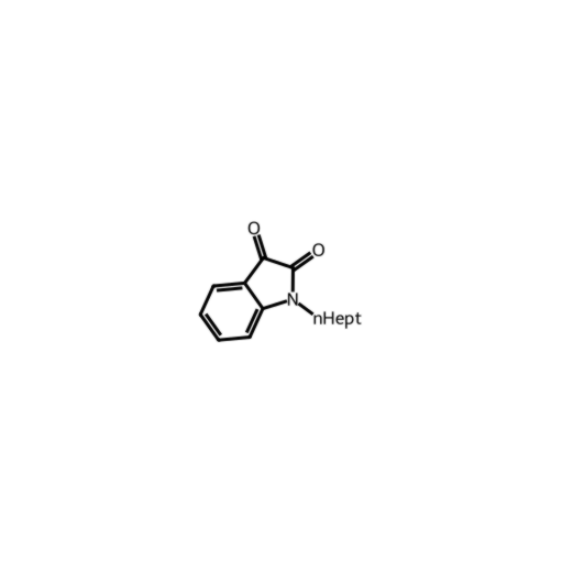 CCCCCCCN1C(=O)C(=O)c2ccccc21